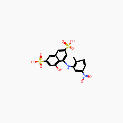 Cc1ccc([N+](=O)[O-])cc1Nc1cc(S(=O)(=O)O)cc2cc(S(=O)(=O)O)cc(O)c12